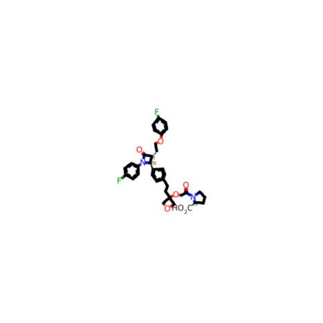 O=C(O)[C@H]1CCCN1C(=O)COC1(CCc2ccc([C@@H]3[C@@H](CCOc4ccc(F)cc4)C(=O)N3c3ccc(F)cc3)cc2)COC1